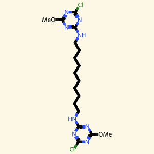 COc1nc(Cl)nc(NCCCCCCCCCCNc2nc(Cl)nc(OC)n2)n1